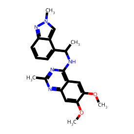 COc1cc2nc(C)nc(NC(C)c3cccc4nn(C)cc34)c2cc1OC